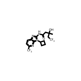 CC(O)(CC(=O)Nc1nc2ccc(C(F)(F)F)nc2n1C1CCC1)CC(F)(F)F